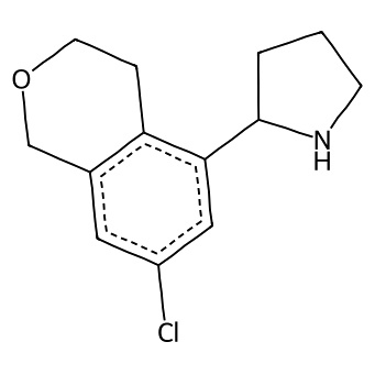 Clc1cc2c(c(C3CCCN3)c1)CCOC2